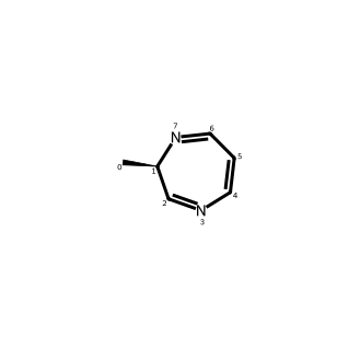 C[C@@H]1C=NC=CC=N1